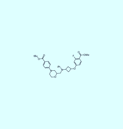 COC(=O)c1ccc(OC2CC(N(CC3CN(c4ccc(C(=O)OC(C)(C)C)cc4)CCO3)C(C)C)C2)cc1F